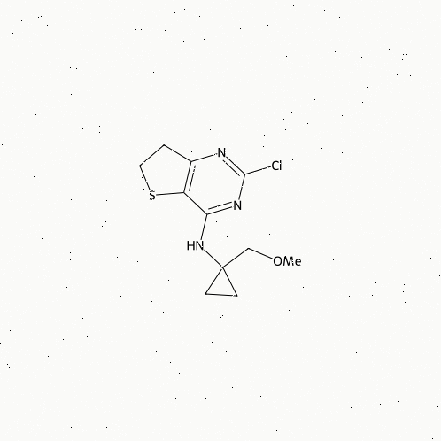 COCC1(Nc2nc(Cl)nc3c2SCC3)CC1